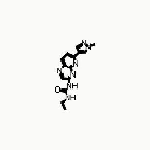 CCNC(=O)Nc1cnc2ccc(-c3cnn(C)c3)nc2n1